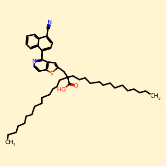 CCCCCCCCCCCCCCC(CCCCCCCCCCCCCC)(Cc1cc2c(-c3ccc(C#N)c4ccccc34)nccc2s1)C(=O)O